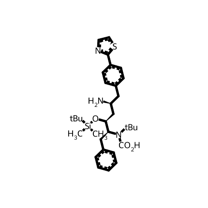 CC(C)(C)N(C(=O)O)[C@@H](Cc1ccccc1)[C@H](C[C@@H](N)Cc1ccc(-c2nccs2)cc1)O[Si](C)(C)C(C)(C)C